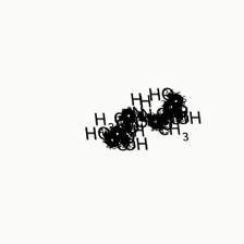 Cc1ccc(NC(=O)Nc2ccc(C)c(S(=O)(=O)Nc3ccc4c(O)cccc4c3S(=O)(=O)O)c2)cc1S(=O)(=O)Nc1ccc2c(O)cccc2c1S(=O)(=O)O